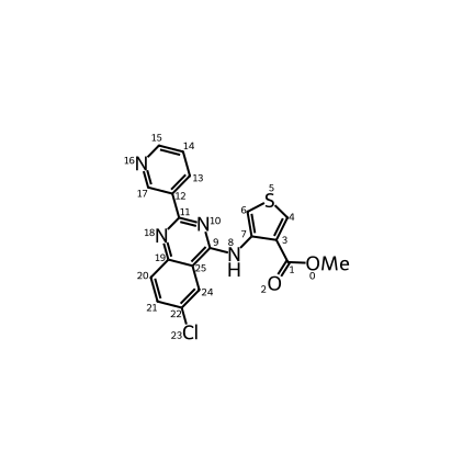 COC(=O)c1cscc1Nc1nc(-c2cccnc2)nc2ccc(Cl)cc12